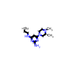 C[C@@H]1CN(c2cc(NCCC(C)(C)C)nc(N)n2)CCN1C